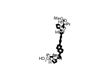 COC(=O)N[C@@H](C(=O)N1CCC[C@@H]1c1ncc(C#CC#Cc2ccc3cc(-c4cnc([C@H]5CCCN5C(=O)[C@H](NC(=O)O)C(C)C)[nH]4)ccc3c2)[nH]1)C(C)C